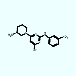 CCCc1cc(N2CCC[C@H](N)C2)nc(Nc2cccc([N+](=O)[O-])c2)n1